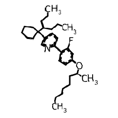 CCCCCC[C@H](C)Oc1ccc(-c2ccc(C3(C(CCC)CCC)CCCCC3)cn2)c(F)c1